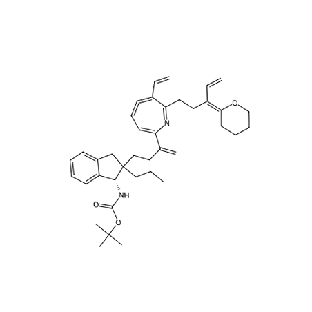 C=CC1=C=CC=C(C(=C)CCC2(CCC)Cc3ccccc3[C@H]2NC(=O)OC(C)(C)C)N=C1CC/C(C=C)=C1\CCCCO1